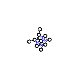 B1c2ccccc2N2c3cc(C4=CC=CCC4)ccc3B3c4ccc(C5C=CC=CC5)cc4N4c5ccccc5Bc5c(-c6c(Nc7ccccc7)cccc6Nc6ccccc6)c1c2c3c54